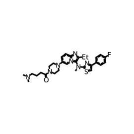 CCc1nc2ccc(N3CCN(C(=O)CCCN(C)C)CC3)cn2c1N(C)c1nc(-c2ccc(F)cc2)cs1